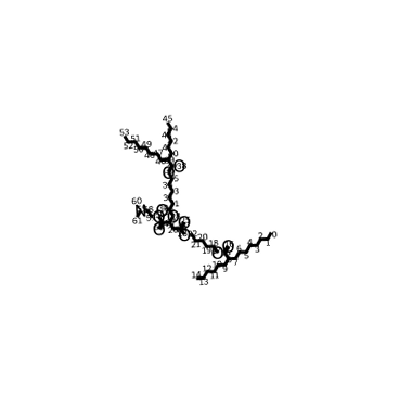 CCCCCCCCC(CCCCCC)C(=O)OCCCCCOC(=O)CC(OC(=O)CCCCCOC(=O)C(CCCCCC)CCCCCCCC)C(=O)OCCN(C)C